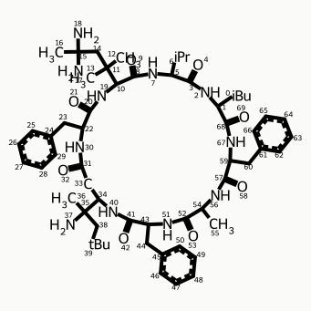 CCC(C)C1NC(=O)C(C(C)C)NC(=O)C(C(C)(C)CC(C)(N)N)NC(=O)C(Cc2ccccc2)NC(=O)CC(C(C)(N)CC(C)(C)C)NC(=O)C(Cc2ccccc2)NC(=O)C(C)NC(=O)C(Cc2ccccc2)NC1=O